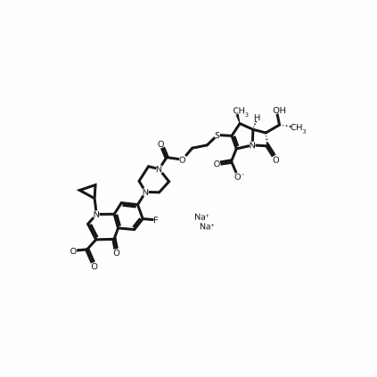 C[C@@H]1C(SCCOC(=O)N2CCN(c3cc4c(cc3F)c(=O)c(C(=O)[O-])cn4C3CC3)CC2)=C(C(=O)[O-])N2C(=O)[C@@H]([C@@H](C)O)[C@H]12.[Na+].[Na+]